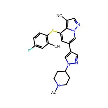 CC(=O)N1CCC(n2cc(-c3cc(Sc4ccc(F)cc4C#N)c4c(C#N)cnn4c3)cn2)CC1